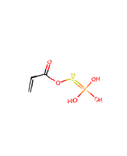 C=CC(=O)O[SH]=P(O)(O)O